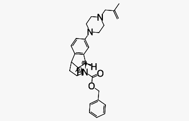 C=C(C)CN1CCN(c2ccc3c(c2)[C@H]2[C@@H](C)C3CCN2C(=O)OCc2ccccc2)CC1